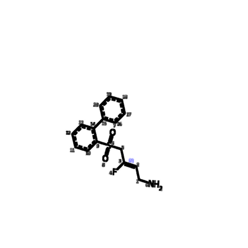 NC/C=C(\F)CS(=O)(=O)c1ccccc1-c1ccccc1